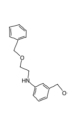 [O]Cc1cccc(NCCOCc2ccccc2)c1